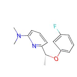 C[C@@H](Oc1cccc(F)c1)c1cccc(N(C)C)n1